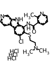 Cc1ncccc1C(=O)Nc1c(SCCN(C)C)c(Cl)cc2c1[nH]c1cnccc12.Cl.Cl.Cl